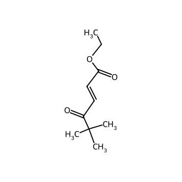 CCOC(=O)C=CC(=O)C(C)(C)C